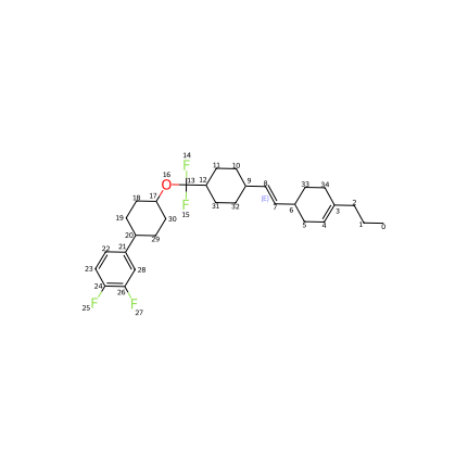 CCCC1=CCC(/C=C/C2CCC(C(F)(F)OC3CCC(c4ccc(F)c(F)c4)CC3)CC2)CC1